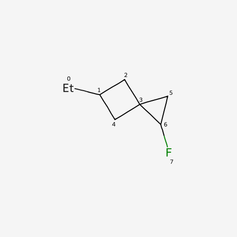 CCC1CC2(C1)CC2F